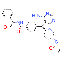 C=CC(=O)N[C@@H]1CCc2c(-c3ccc(C(=O)N[C@@H](COC)c4ccccc4)cc3)c3c(N)ncnc3n2C1